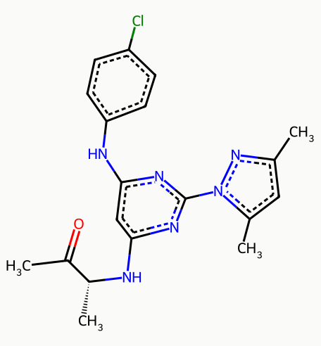 CC(=O)[C@@H](C)Nc1cc(Nc2ccc(Cl)cc2)nc(-n2nc(C)cc2C)n1